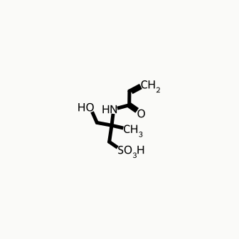 C=CC(=O)NC(C)(CO)CS(=O)(=O)O